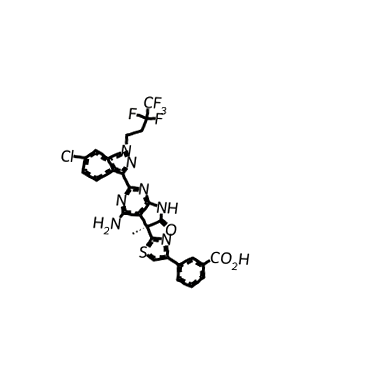 C[C@@]1(c2nc(-c3cccc(C(=O)O)c3)cs2)C(=O)Nc2nc(-c3nn(CCC(F)(F)C(F)(F)F)c4cc(Cl)ccc34)nc(N)c21